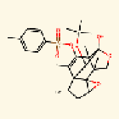 CC1=C(OS(=O)(=O)c2ccc(C)cc2)C2(C)C3(O)OCC2(C)C24OC2C[C@H](C)C14C3O[Si](C)(C)C